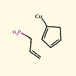 C=CCP.[Cu][C]1=CC=CC1